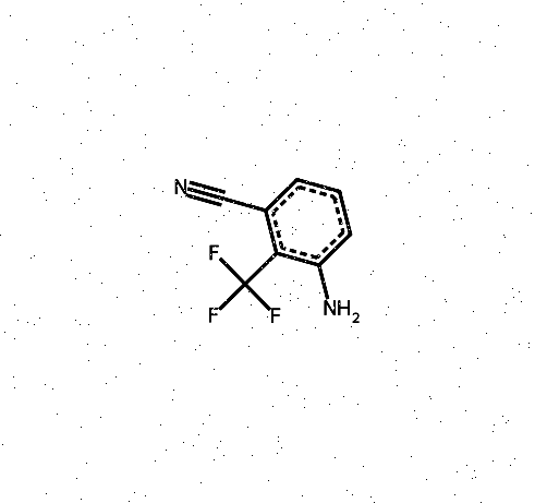 N#Cc1cccc(N)c1C(F)(F)F